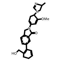 COC1=CC(N2Cc3ccc(C4=C(CO)CCC=C4)cc3C2=O)=CCC1N1C=NC(C)C1